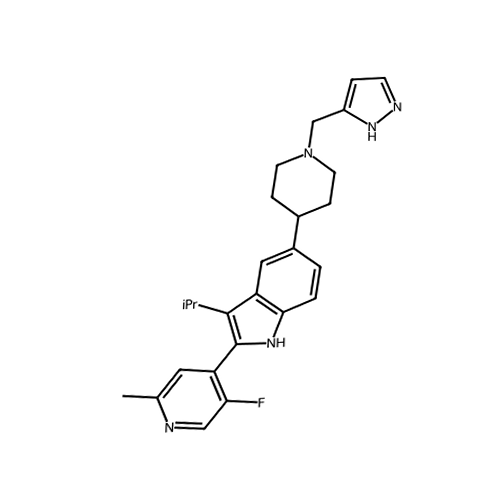 Cc1cc(-c2[nH]c3ccc(C4CCN(Cc5ccn[nH]5)CC4)cc3c2C(C)C)c(F)cn1